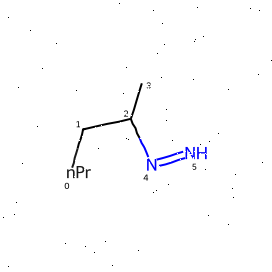 CCCCC(C)N=N